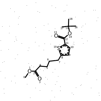 COC(=O)CCCCc1ccc(C(=O)OC(C)(C)C)s1